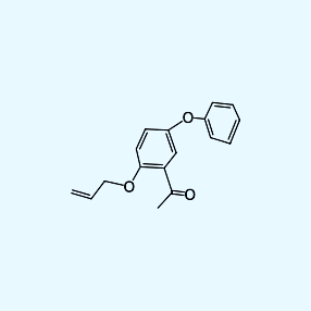 C=CCOc1ccc(Oc2ccccc2)cc1C(C)=O